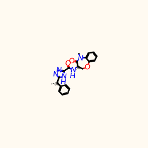 C[C@@H](c1ccccc1)c1nnc(C(=O)N[C@H]2COc3ccccc3N(C)C2=O)[nH]1